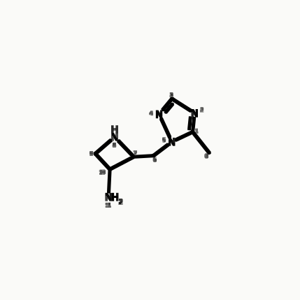 Cc1ncnn1CC1NCC1N